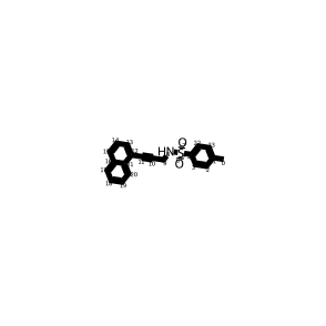 Cc1ccc(S(=O)(=O)NCC#Cc2cccc3ccccc23)cc1